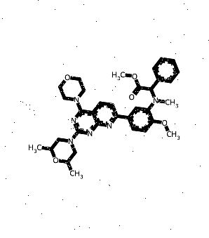 COC(=O)C(c1ccccc1)N(C)c1cc(-c2ccc3c(N4CCOCC4)nc(N4CC(C)OC(C)C4)nc3n2)ccc1OC